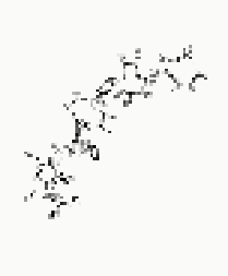 Cc1cc(C(F)(F)F)nn1CC(=O)N1CCC(Oc2ccc(-c3ccccc3)cc2)CC1